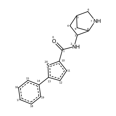 O=C(NC1CC2CNC1C2)c1ccc(-c2ccccc2)s1